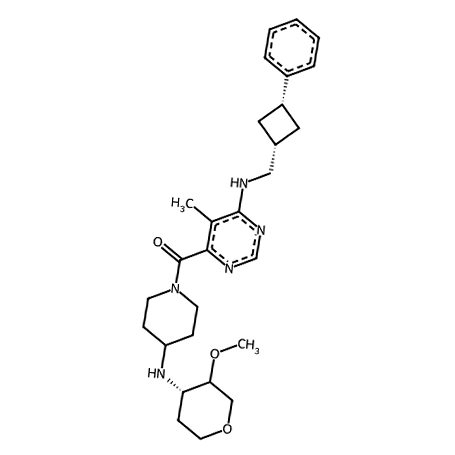 COC1COCC[C@@H]1NC1CCN(C(=O)c2ncnc(NC[C@H]3C[C@@H](c4ccccc4)C3)c2C)CC1